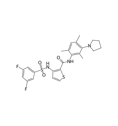 Cc1cc(C)c(N2CCCC2)c(C)c1NC(=O)c1sccc1NS(=O)(=O)c1cc(F)cc(F)c1